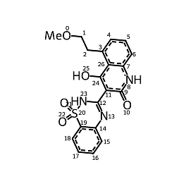 COCCc1cccc2[nH]c(=O)c(C3=Nc4ccccc4S(=O)(=O)N3)c(O)c12